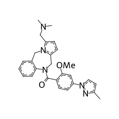 COc1cc(-n2ccc(C)n2)ccc1C(=O)N1Cc2ccc(CN(C)C)n2Cc2ccccc21